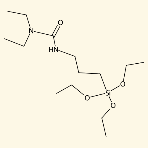 CCO[Si](CCCNC(=O)N(CC)CC)(OCC)OCC